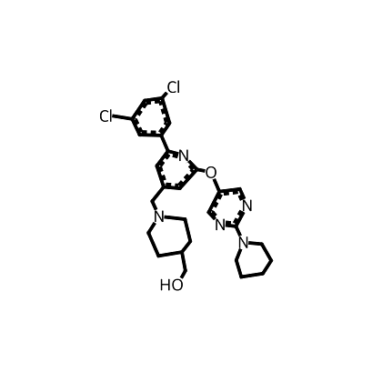 OCC1CCN(Cc2cc(Oc3cnc(N4CCCCC4)nc3)nc(-c3cc(Cl)cc(Cl)c3)c2)CC1